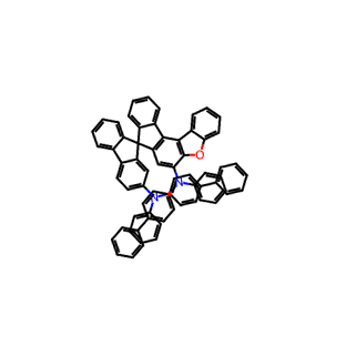 c1ccc(-c2ccc(N(c3ccccc3)c3ccc4c(c3)C3(c5ccccc5-4)c4ccccc4-c4c3cc(N(c3ccccc3)c3ccc(-c5ccccc5)cc3)c3oc5ccccc5c43)cc2)cc1